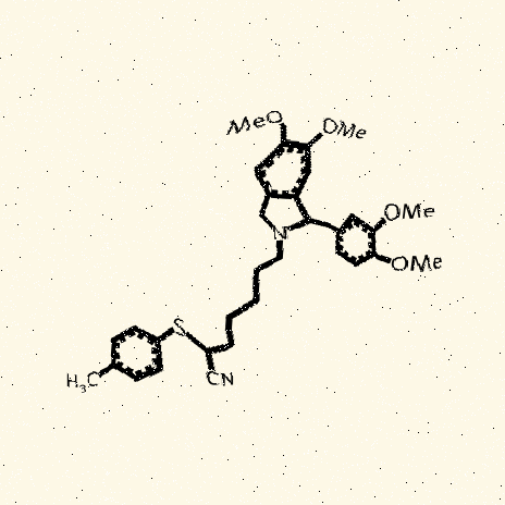 COc1ccc(C2c3cc(OC)c(OC)cc3CN2CCCCCC(C#N)Sc2ccc(C)cc2)cc1OC